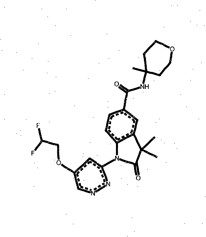 CC1(NC(=O)c2ccc3c(c2)C(C)(C)C(=O)N3c2cc(OCC(F)F)cnn2)CCOCC1